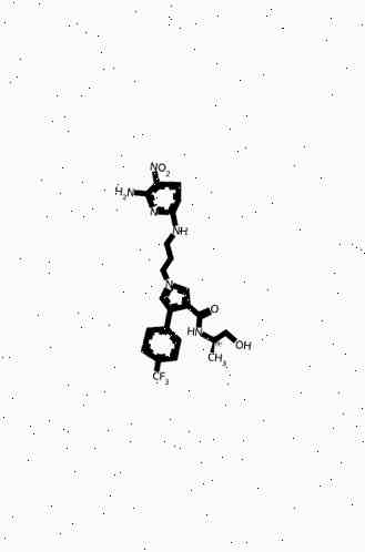 C[C@H](CO)NC(=O)c1cn(CCCNc2ccc([N+](=O)[O-])c(N)n2)cc1-c1ccc(C(F)(F)F)cc1